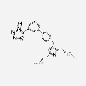 C/C=C/Cc1nc(C/C=C/C)n(Cc2ccc(-c3cccc(-c4nnn[nH]4)c3)cc2)n1